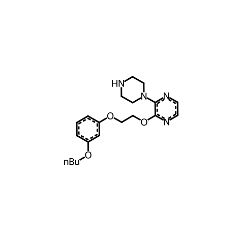 CCCCOc1cccc(OCCOc2nccnc2N2CCNCC2)c1